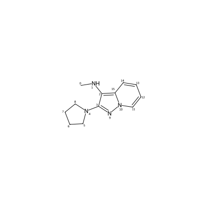 CNc1c(N2CCCC2)nn2ccccc12